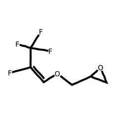 F/C(=C/OCC1CO1)C(F)(F)F